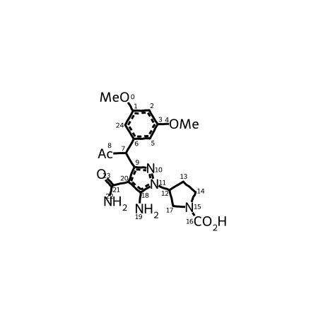 COc1cc(OC)cc(C(C(C)=O)c2nn(C3CCN(C(=O)O)C3)c(N)c2C(N)=O)c1